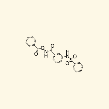 O=C(NOC(=O)c1ccccc1)c1cccc(NS(=O)(=O)c2ccccc2)c1